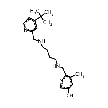 Cc1cnc(CNCCCCNCc2cc(C(C)(C)C)ccn2)c(C)c1